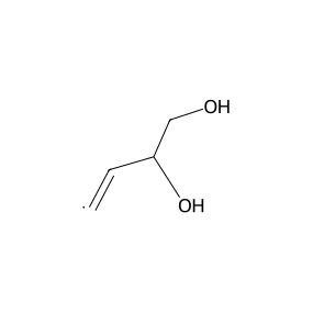 [CH]=CC(O)CO